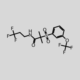 CC(C)(C(=O)NCCC(F)(F)F)S(=O)(=O)c1cccc(OC(F)(F)F)c1